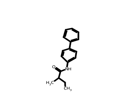 CCC(C)C(=O)Nc1ccc(-c2ccccc2)cc1